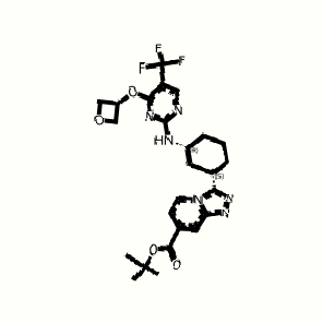 CC(C)(C)OC(=O)c1ccn2c([C@H]3CCC[C@@H](Nc4ncc(C(F)(F)F)c(OC5COC5)n4)C3)nnc2c1